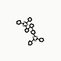 c1ccc(-c2nc(-c3ccccc3)nc(-c3ccc(-c4ccccc4-c4ccccc4-c4nc(-c5ccccc5)nc(-c5ccccc5)n4)cc3)n2)cc1